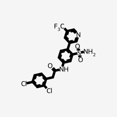 NS(=O)(=O)c1cc(NC(=O)Cc2ccc(Cl)cc2Cl)ccc1-c1cncc(C(F)(F)F)c1